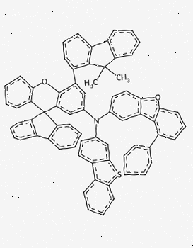 CC1(C)c2ccccc2-c2cccc(-c3cc(N(c4ccc5c(c4)sc4ccccc45)c4ccc5oc6cccc(-c7ccccc7)c6c5c4)cc4c3Oc3ccccc3C43c4ccccc4-c4ccccc43)c21